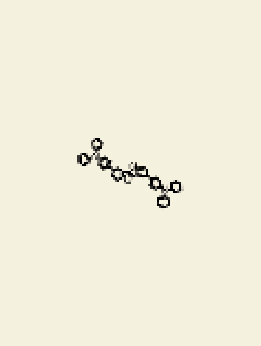 c1ccc(N(c2ccccc2)c2ccc(-c3ccc4oc5c6cc(-c7ccc(N(c8ccccc8)c8ccccc8)cc7)ccc6oc5c4c3)cc2)cc1